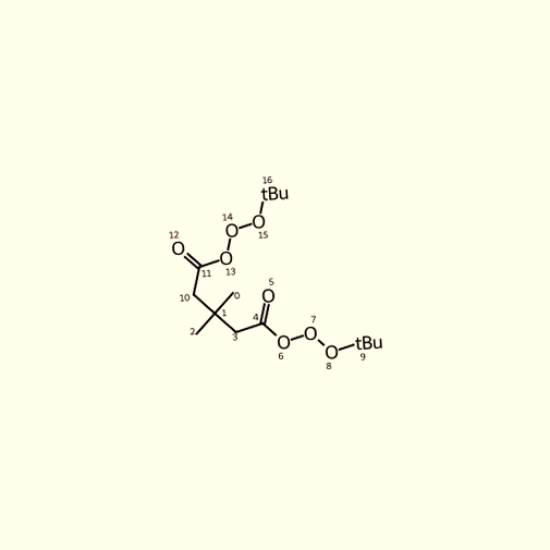 CC(C)(CC(=O)OOOC(C)(C)C)CC(=O)OOOC(C)(C)C